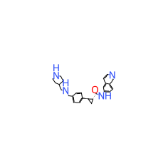 O=C(Nc1ccc2cnccc2c1)[C@@H]1C[C@H]1c1ccc(CNCC2CCNCC2)cc1